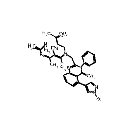 C=C(N)/N=C(C)\C(C#N)=C(/C)N(CCC(C)O)CC1=Nc2cccc(-c3cnn(CC)c3)c2C(=C)N1c1ccccc1